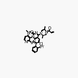 C=CC(=O)N1CC(C)N(c2nc(=O)n(-c3c(N(C)C)ccnc3C(C)C)c3nc(-c4ccccc4C(C)C)c(Cl)cc23)CC1C